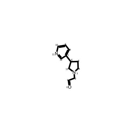 O=CCN1CCC(c2cccnc2)C1